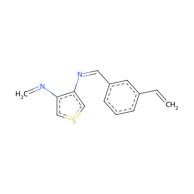 C=Cc1cccc(/C=N\c2cscc2N=C)c1